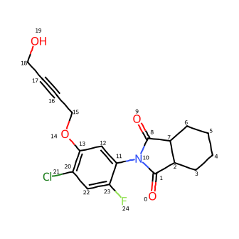 O=C1C2CCCCC2C(=O)N1c1cc(OCC#CCO)c(Cl)cc1F